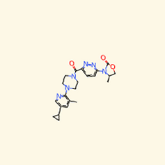 Cc1cc(C2CC2)cnc1N1CCN(C(=O)c2ccc(N3C(=O)OC[C@H]3C)nn2)CC1